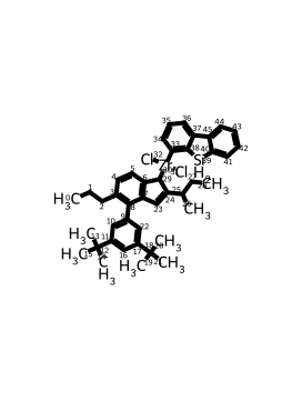 CCCc1ccc2c(c1-c1cc(C(C)(C)C)cc(C(C)(C)C)c1)C=C(C(C)CC)[CH]2[Zr]([Cl])([Cl])[c]1cccc2c1[SiH2]c1ccccc1-2